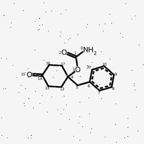 NC(=O)OC1(Cc2ccccc2)CCC(=O)CC1